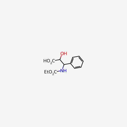 CCOC(=O)NC(c1ccccc1)C(O)C(=O)O